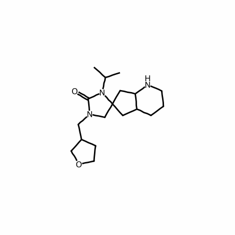 CC(C)N1C(=O)N(CC2CCOC2)CC12CC1CCCNC1C2